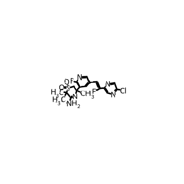 CC1(c2cc(C=C(F)c3cnc(Cl)cn3)cnc2F)CS(=O)(=O)C(C)(C)C(N)=N1